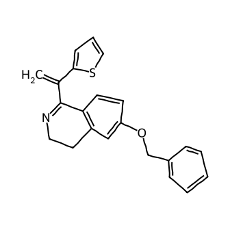 C=C(C1=NCCc2cc(OCc3ccccc3)ccc21)c1cccs1